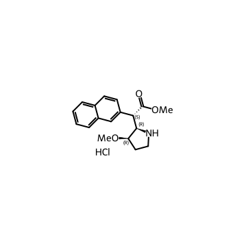 COC(=O)[C@@H](c1ccc2ccccc2c1)[C@H]1NCC[C@H]1OC.Cl